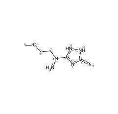 COCCN(N)c1nc(=S)[nH][nH]1